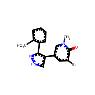 CCc1cc(-c2c[nH]nc2-c2ccccc2C(=O)O)cn(C)c1=O